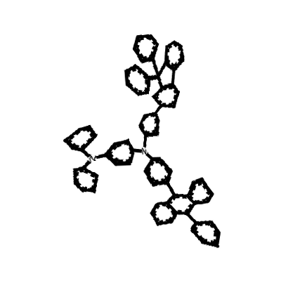 c1ccc(-c2c3ccccc3c(-c3ccc(N(c4ccc(-c5ccc6c(c5)C(c5ccccc5)(c5ccccc5)c5ccccc5-6)cc4)c4ccc(N(c5ccccc5)c5ccccc5)cc4)cc3)c3ccccc23)cc1